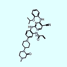 C=CC(=O)Nc1cc(N2CCC(N3CCN(C)CC3=O)CC2)ccc1Nc1ncc(C#N)c(Nc2ccccc2OC(C)C)n1